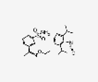 CC(C)c1cccc(C(C)C)c1N=C=O.CCO/N=C(/C)c1cccc(S(N)(=O)=O)c1